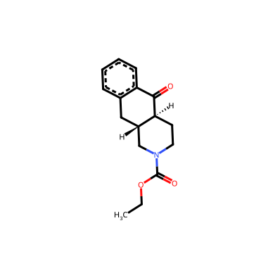 CCOC(=O)N1CC[C@@H]2C(=O)c3ccccc3C[C@H]2C1